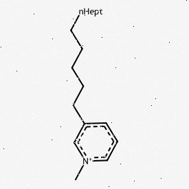 CCCCCCCCCCCCc1ccc[n+](C)c1